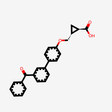 O=C(c1ccccc1)c1cccc(-c2ccc(OC[C@@H]3C[C@H]3C(=O)O)cc2)c1